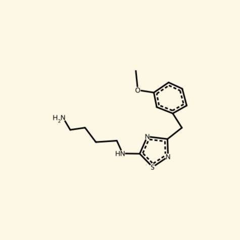 COc1cccc(Cc2nsc(NCCCCN)n2)c1